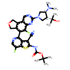 CN(C)[C@@H]1CN(c2ncc3c4c(c(-c5ncc(F)c6sc(NC(=O)OC(C)(C)C)c(C#N)c56)c(F)c3n2)COC4)C[C@H]1C(C)(C)O